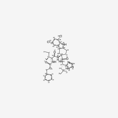 CC[C@H](C)C(NC(=O)OCc1ccccc1)C(=O)N[C@]1(C(=O)N[C@@H](CC(C)C)c2nnn[nH]2)CCc2[nH]c3c(Cl)cc(Cl)cc3c2C1